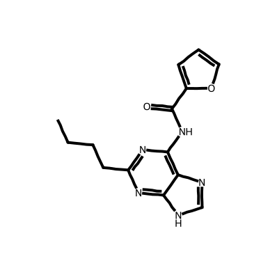 CCCCc1nc(NC(=O)c2ccco2)c2nc[nH]c2n1